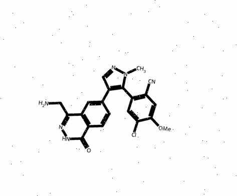 COc1cc(C#N)c(-c2c(-c3ccc4c(=O)[nH]nc(CN)c4c3)cnn2C)cc1Cl